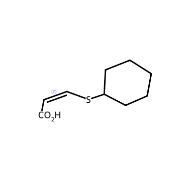 O=C(O)/C=C\SC1CCCCC1